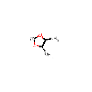 CC1OBO[C@@H]1C